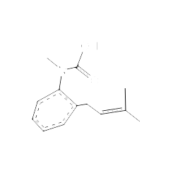 CC(C)=CCc1ccccc1N(C)C(=O)O